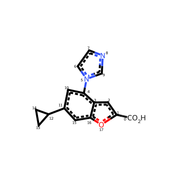 O=C(O)c1cc2c(-n3ccnc3)cc(C3CC3)cc2o1